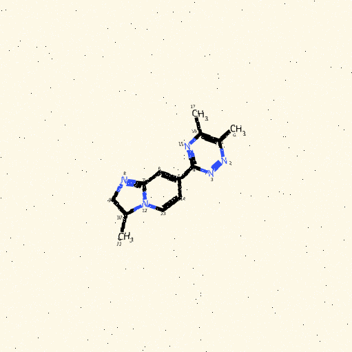 Cc1nnc(C2=CC3=NCC(C)N3C=C2)nc1C